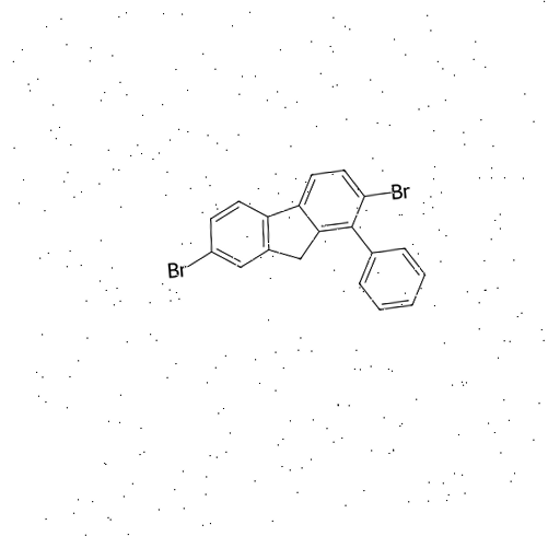 Brc1ccc2c(c1)Cc1c-2ccc(Br)c1-c1ccccc1